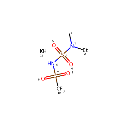 CCN(C)S(=O)(=O)NS(=O)(=O)C(F)(F)F.[KH]